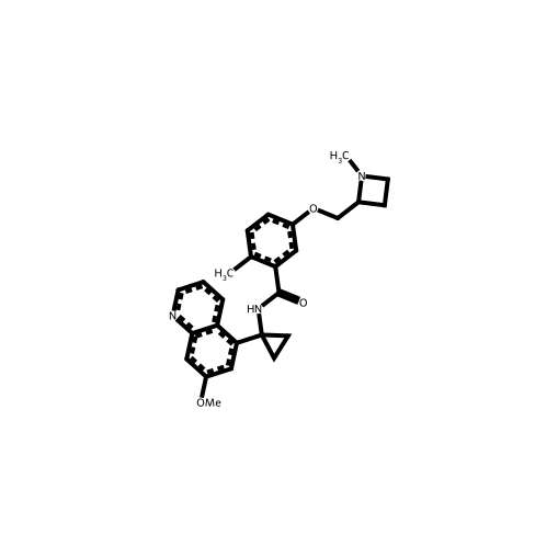 COc1cc(C2(NC(=O)c3cc(OCC4CCN4C)ccc3C)CC2)c2cccnc2c1